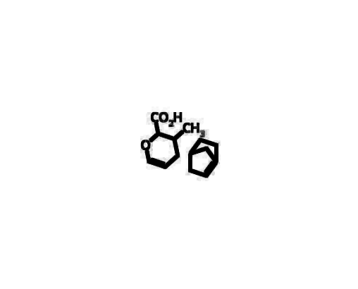 C1=C2CCC(C1)C2.CC1CC=COC1C(=O)O